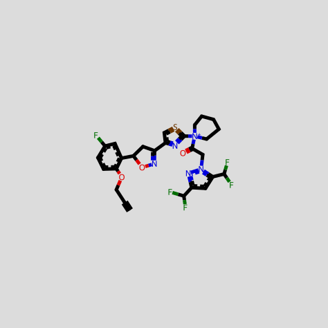 C#CCOc1ccc(F)cc1C1CC(c2csc([N+]3(C(=O)Cn4nc(C(F)F)cc4C(F)F)CCCCC3)n2)=NO1